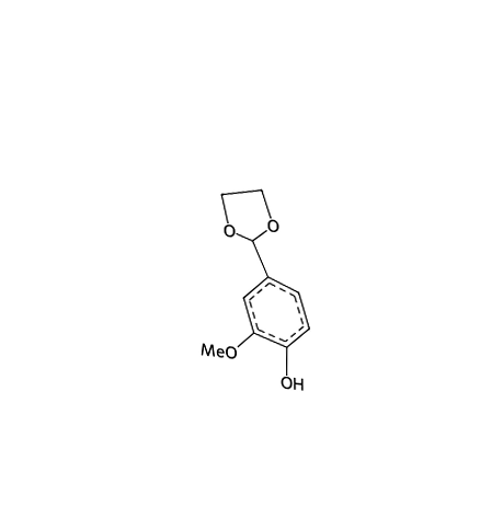 COc1cc(C2OCCO2)ccc1O